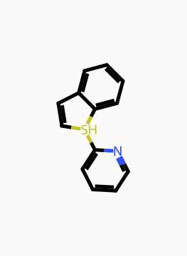 C1=C[SH](c2ccccn2)c2ccccc21